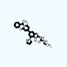 CCNC(=O)Nc1nc2cc(-c3ccn(C(C)c4ccccc4)c(=O)c3)cc(-n3cccn3)c2[nH]1